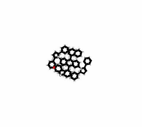 C1=C(c2ccccc2)N(c2ccc3c(-c4cccc5ccccc45)c4cc(-n5c(-c6ccccc6)ccc5-c5ccccc5)ccc4c(-c4cccc5oc6ccccc6c45)c3c2)C(c2ccccc2)C1